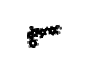 CC1CN(Cc2ccc(F)c(C(F)(F)F)c2)CC1c1nn2c(C3CCOCC3)ncc2c(=O)[nH]1